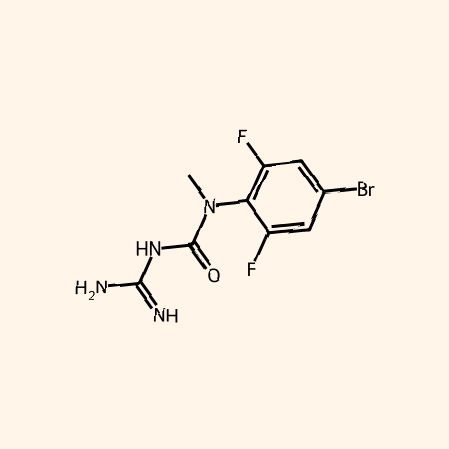 CN(C(=O)NC(=N)N)c1c(F)cc(Br)cc1F